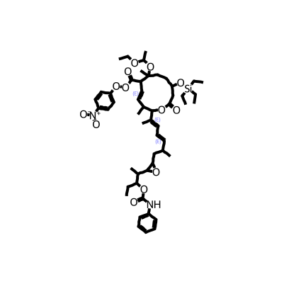 CCOC(C)OC1(C)CCC(O[Si](CC)(CC)CC)CC(=O)OC(/C(C)=C/C=C/C(C)CC2OC2C(C)C(CC)OC(=O)Nc2ccccc2)C(C)/C=C/C1C(=O)OOc1ccc([N+](=O)[O-])cc1